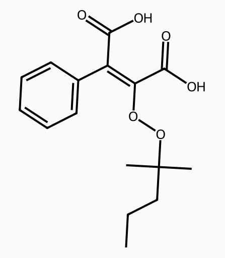 CCCC(C)(C)OOC(C(=O)O)=C(C(=O)O)c1ccccc1